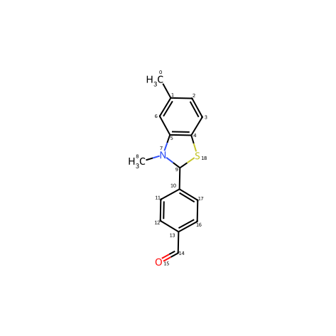 Cc1ccc2c(c1)N(C)C(c1ccc(C=O)cc1)S2